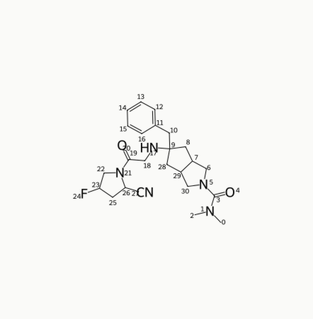 CN(C)C(=O)N1CC2CC(Cc3ccccc3)(NCC(=O)N3CC(F)CC3C#N)CC2C1